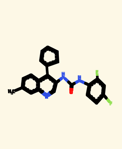 Cc1ccc2c(-c3ccccc3)c(NC(=O)Nc3ccc(F)cc3F)cnc2c1